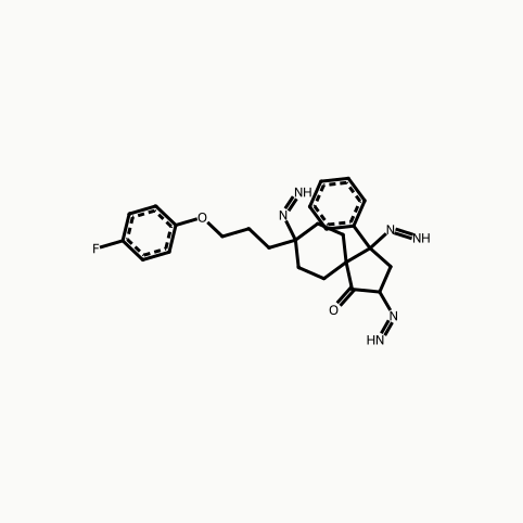 N=NC1CC(N=N)(c2ccccc2)C2(CCC(CCCOc3ccc(F)cc3)(N=N)CC2)C1=O